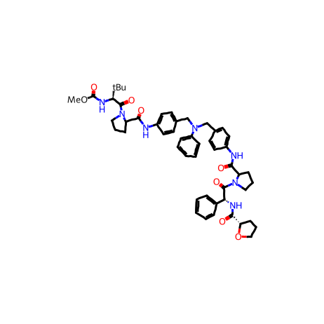 COC(=O)N[C@H](C(=O)N1CCCC1C(=O)Nc1ccc(CN(Cc2ccc(NC(=O)C3CCCN3C(=O)[C@H](NC(=O)[C@@H]3CCCO3)c3ccccc3)cc2)c2ccccc2)cc1)C(C)(C)C